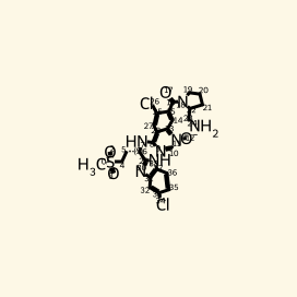 CS(=O)(=O)CC[C@H](Nc1nc[n+]([O-])c2cc(C(=O)N3CCCC3CN)c(Cl)cc12)c1nc2cc(Cl)ccc2[nH]1